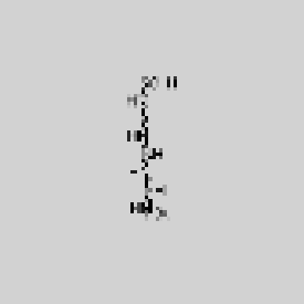 CCCCNCCNCCNCCNCCNCCCCCNCCS(=O)(=O)O